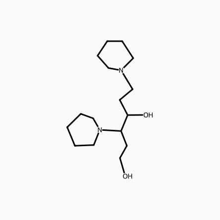 OCCC(C(O)CCN1CCCCC1)N1CCCCC1